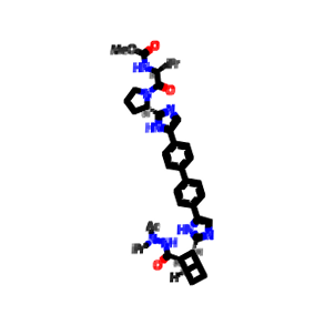 COC(=O)N[C@H](C(=O)N1CCC[C@H]1c1ncc(-c2ccc(-c3ccc(-c4cnc([C@@H]5C6CC[C@H]6[C@H]5C(=O)NN(C(C)=O)C(C)C)[nH]4)cc3)cc2)[nH]1)C(C)C